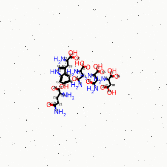 NC(=O)CC(N)C(=O)O.NC(=O)CC(N)C(=O)O.NC(=O)CCC(N)C(=O)O.NC(CC(=O)O)C(=O)O.NC(Cc1c[nH]c2ccccc12)C(=O)O